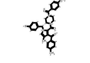 Cc1ccc(C(=O)c2c(C)cn(Cc3ccc(F)cc3)c2C(=O)N2CCN(C(=O)c3ccc(C)cc3)CC2)cc1